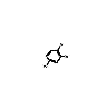 Oc1ccc(Br)c(Br)c1